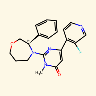 Cn1c(N2CCCOC[C@H]2c2ccccc2)nc(-c2ccncc2F)cc1=O